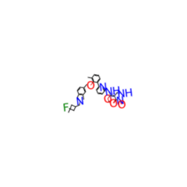 CO/C(Nc1cccc(-c2cccc(C)c2OCc2ccc3c(c2)CN(CC2CC(C)(F)C2)C3)n1)=C(/C=N)C(=O)N=O